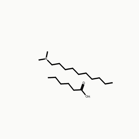 CCCCCC(=O)O.CCCCCCCCCCN(C)C